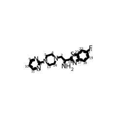 NC(CN1CCN(c2ncccn2)CC1)c1nc2ccc(F)cc2s1